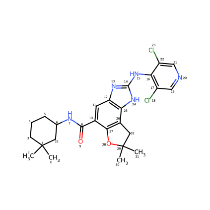 CC1(C)CCCC(NC(=O)c2cc3nc(Nc4c(Cl)cncc4Cl)[nH]c3c3c2OC(C)(C)C3)C1